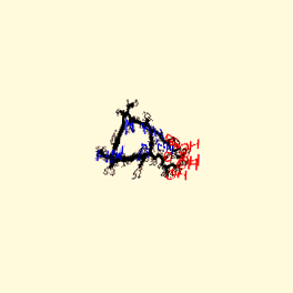 C=CC1=C(C)c2cc3[nH]c(cc4nc(cc5[nH]c(cc1n2)c(C)c5CCC(=O)N[C@@H](CC(=O)O)C(=O)O)C(CCC(=O)CC(CO)CC(=O)O)C4C)c(C)c3C=C